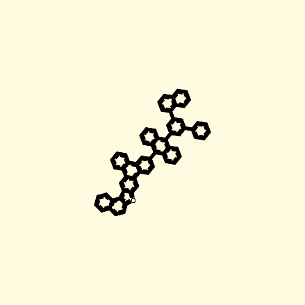 c1ccc(-c2cc(-c3cccc4ccccc34)cc(-c3c4ccccc4c(-c4ccc5c(c4)c4ccccc4c4cc6c(cc54)oc4ccc5ccccc5c46)c4ccccc34)c2)cc1